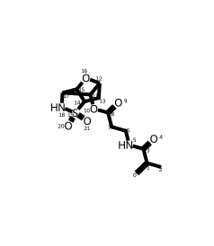 C=C(C)C(=O)NCCC(=O)OC1C2CC3C(O2)C1NS3(=O)=O